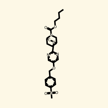 CCCCOC(=O)N1CC2CCC1CN2c1ncc(OCc2ccc(S(C)(=O)=O)cc2)cn1